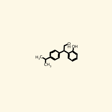 CC(C)c1ccc(C(CO)c2ccccc2O)cc1